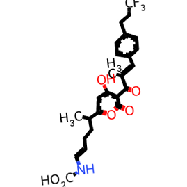 C/C(=C\c1ccc(CCC(F)(F)F)cc1)C(=O)c1c(O)cc(C(C)CCC=CNC(=O)O)oc1=O